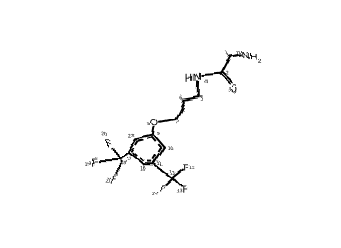 NCC(=O)NCCCOc1cc(C(F)(F)F)cc(C(F)(F)F)c1